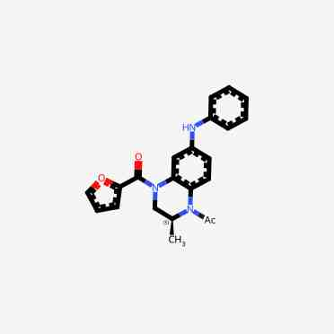 CC(=O)N1c2ccc(Nc3ccccc3)cc2N(C(=O)c2ccco2)C[C@@H]1C